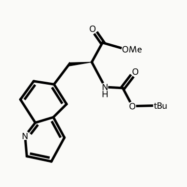 COC(=O)[C@H](Cc1ccc2ncccc2c1)NC(=O)OC(C)(C)C